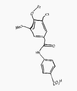 CCOc1c(Cl)cc(C(=O)Nc2ccc(C(=O)O)cc2)cc1OC